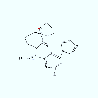 O=C1C(/C(=N\O)c2nc(Cl)cc(-n3ccnc3)n2)CCC[C@@]12CCCCC21OCCO1